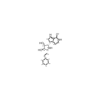 O=c1[nH]cnc2c([C@@H]3N[C@H](/C=C/c4ccccc4)[C@@H](O)[C@H]3O)c[nH]c12